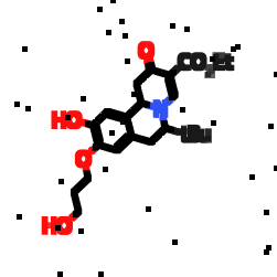 CCOC(=O)C1=CN2C(CC1=O)c1cc(O)c(OCCCO)cc1CC2C(C)(C)C